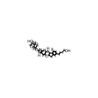 OCC/C=C/c1cc(F)c2c(c1)CCC2Nc1nc2nc(O[C@@H]3CO[C@H]4[C@@H]3OC[C@H]4O)[nH]c2cc1Cl